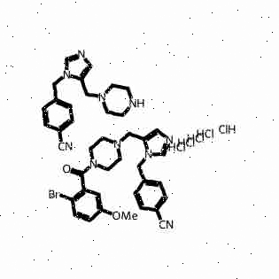 COc1ccc(Br)c(C(=O)N2CCN(Cc3cncn3Cc3ccc(C#N)cc3)CC2)c1.Cl.Cl.Cl.Cl.Cl.N#Cc1ccc(Cn2cncc2CN2CCNCC2)cc1